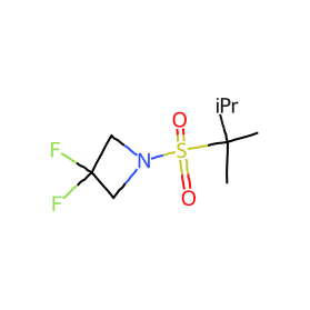 CC(C)C(C)(C)S(=O)(=O)N1CC(F)(F)C1